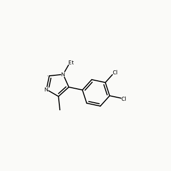 CCn1[c]nc(C)c1-c1ccc(Cl)c(Cl)c1